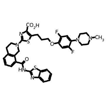 CN1CCN(c2cc(F)c(OCCCc3sc(N4CCc5cccc(C(=O)Nc6nc7ccccc7s6)c5C4)nc3C(=O)O)cc2F)CC1